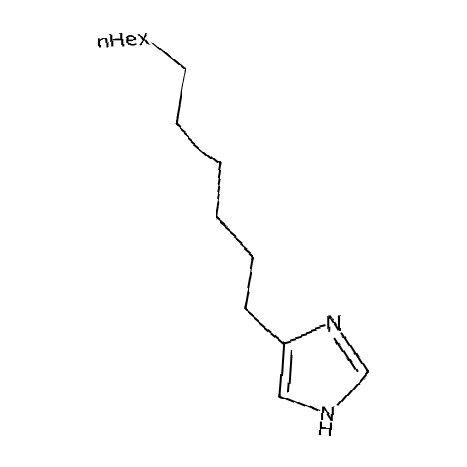 CCCCCCCCCCCCc1c[nH]cn1